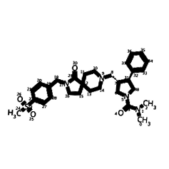 CN(C)C(=O)N1C[C@H](CN2CCC3(CC2)CCN(Cc2ccc(S(C)(=O)=O)cc2)C3=O)[C@@H](c2ccccc2)C1